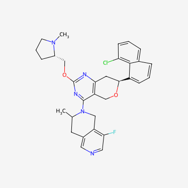 CC1Cc2cncc(F)c2CN1c1nc(OC[C@@H]2CCCN2C)nc2c1CO[C@H](c1cccc3cccc(Cl)c13)C2